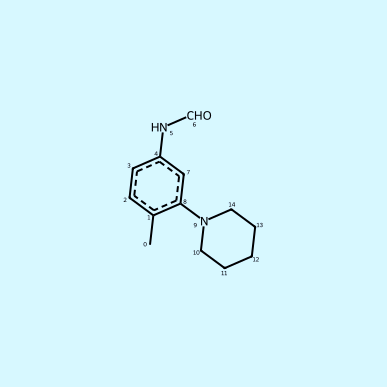 Cc1ccc(NC=O)cc1N1CCCCC1